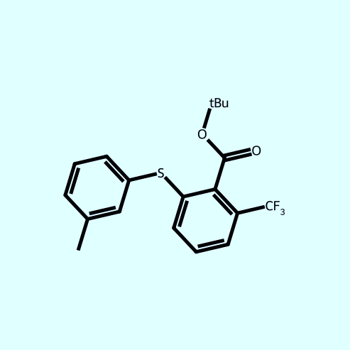 Cc1cccc(Sc2cccc(C(F)(F)F)c2C(=O)OC(C)(C)C)c1